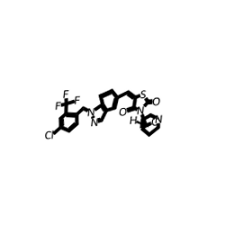 O=C1SC(=Cc2ccc3c(cnn3Cc3ccc(Cl)cc3C(F)(F)F)c2)C(=O)N1[C@@H]1CN2CCC1CC2